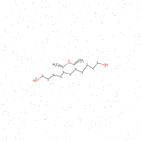 C=COC=C.OCCCCCCCCCCCO